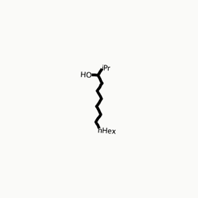 CCCCCCCCCCCCC(O)C(C)C